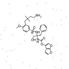 COc1ccc(S(=O)(=O)N[C@](Cc2ccccc2)(NC(=O)Oc2coc3occc23)[C@@H](C)O)cc1CC(C)(C)CCN